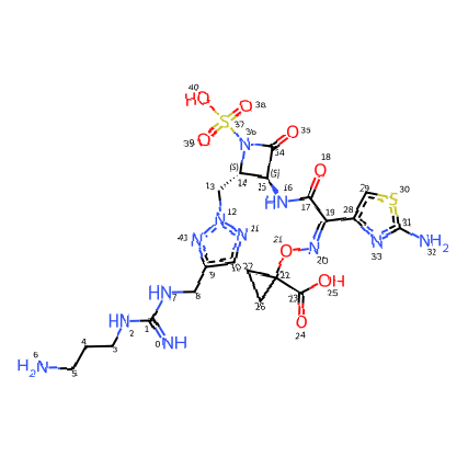 N=C(NCCCN)NCc1cnn(C[C@H]2[C@H](NC(=O)C(=NOC3(C(=O)O)CC3)c3csc(N)n3)C(=O)N2S(=O)(=O)O)n1